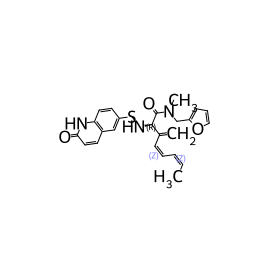 C=C(/C=C\C=C/C)[C@@H](NSc1ccc2[nH]c(=O)ccc2c1)C(=O)N(C)Cc1ccco1